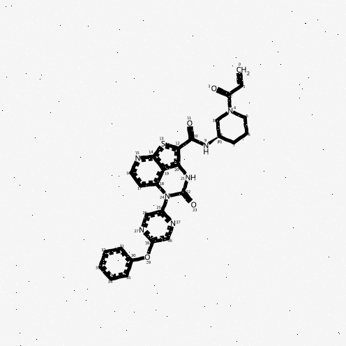 C=CC(=O)N1CCC[C@@H](NC(=O)c2sc3nccc4c3c2NC(=O)N4c2cnc(Oc3ccccc3)cn2)C1